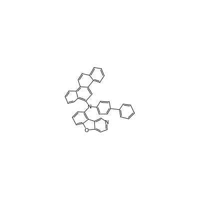 c1ccc(-c2ccc(N(c3cc4c5ccccc5ccc4c4ccccc34)c3cccc4oc5ccncc5c34)cc2)cc1